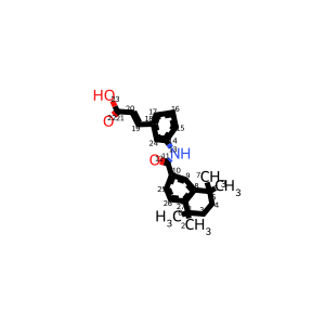 CC1(C)CCC(C)(C)c2cc(C(=O)Nc3cccc(C=CC(=O)O)c3)ccc21